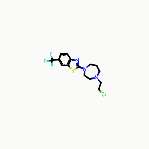 FC(F)(F)c1ccc2nc(N3CCCN(CCCl)CC3)sc2c1